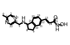 Cc1cnc(CNC2CCc3cc(C=CC(=O)NO)ccc32)cn1